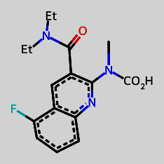 CCN(CC)C(=O)c1cc2c(F)cccc2nc1N(C)C(=O)O